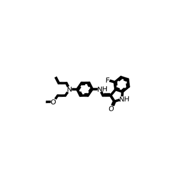 CCCN(CCOC)c1ccc(N/C=C2/C(=O)Nc3cccc(F)c32)cc1